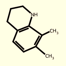 Cc1ccc2c(c1C)NCCC2